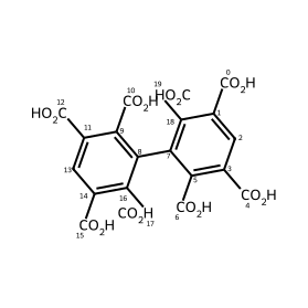 O=C(O)c1cc(C(=O)O)c(C(=O)O)c(-c2c(C(=O)O)c(C(=O)O)cc(C(=O)O)c2C(=O)O)c1C(=O)O